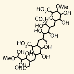 COC(O)C(O)C(O)C(CC=O)CC1OC(C(=O)O)C(CC(I)C(O)C(O)C(CC2OC(C(=O)O)C(OC)C(O)C2O)C(O)C(=O)O)C(O)C1O